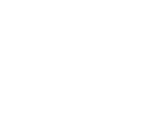 COCOc1c(Br)cc(Cl)c2c1C(=O)CC2